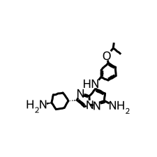 CC(C)Oc1cccc(Nc2cc(N)nn3cc([C@H]4CC[C@H](N)CC4)nc23)c1